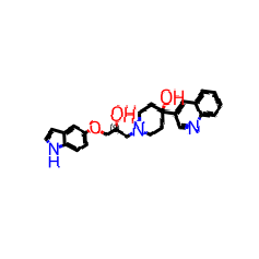 O[C@H](COc1ccc2[nH]ccc2c1)CN1CCC(O)(c2cnc3ccccc3c2)CC1